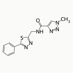 Cn1cc(C(=O)NCc2nnc(-c3ccccc3)s2)nn1